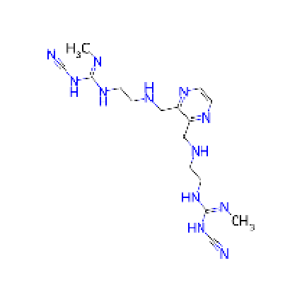 CN=C(NC#N)NCCNCc1nccnc1CNCCNC(=NC)NC#N